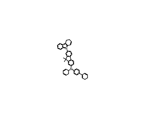 CC1(C)c2cc(N(c3ccc(C4=CCCC=C4)cc3)C3C=CC=CC3)ccc2-c2ccc(-n3c4c(c5ccccc53)CCC=C4)cc21